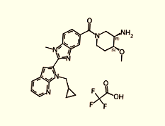 CO[C@H]1CCN(C(=O)c2ccc3c(c2)nc(-c2cc4cccnc4n2CC2CC2)n3C)C[C@H]1N.O=C(O)C(F)(F)F